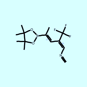 C=N/C=C(\C=C(/C)B1OC(C)(C)C(C)(C)O1)C(F)(F)F